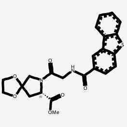 COC(=O)[C@@H]1CC2(CN1C(=O)CNC(=O)c1ccc3sc4ccccc4c3c1)OCCO2